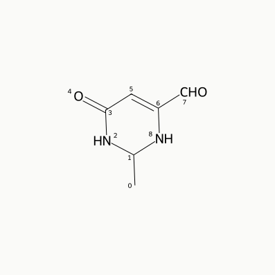 CC1NC(=O)C=C(C=O)N1